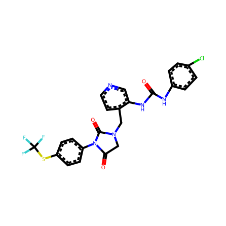 O=C(Nc1ccc(Cl)cc1)Nc1cnccc1CN1CC(=O)N(c2ccc(SC(F)(F)F)cc2)C1=O